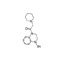 CC(C)N1CCN(C(=O)CN2CCCCC2)c2ccccc21